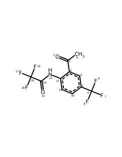 CC(=O)c1cc(C(F)(F)F)ccc1NC(=O)C(F)(F)F